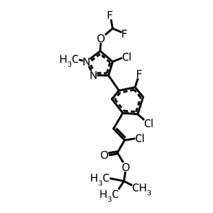 Cn1nc(-c2cc(/C=C(\Cl)C(=O)OC(C)(C)C)c(Cl)cc2F)c(Cl)c1OC(F)F